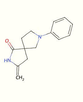 C=C1CC2(CCN(c3ccccc3)C2)C(=O)N1